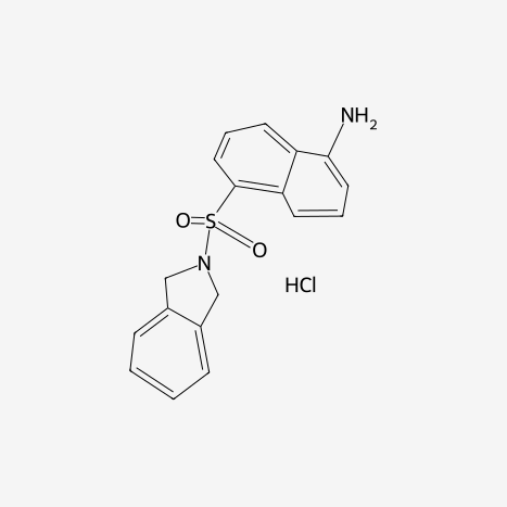 Cl.Nc1cccc2c(S(=O)(=O)N3Cc4ccccc4C3)cccc12